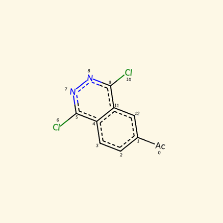 CC(=O)c1ccc2c(Cl)nnc(Cl)c2c1